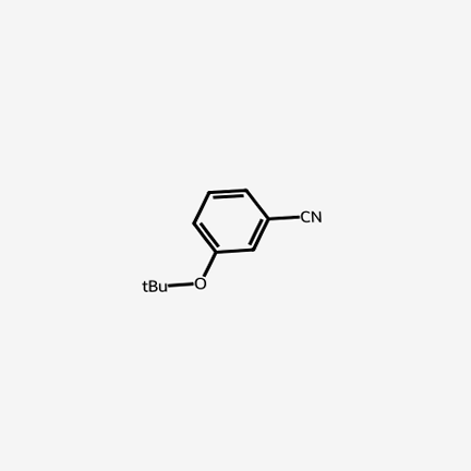 CC(C)(C)Oc1cccc(C#N)c1